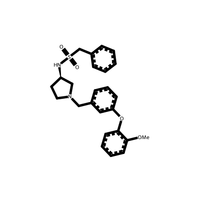 COc1ccccc1Oc1cccc(CN2CC[C@@H](NS(=O)(=O)Cc3ccccc3)C2)c1